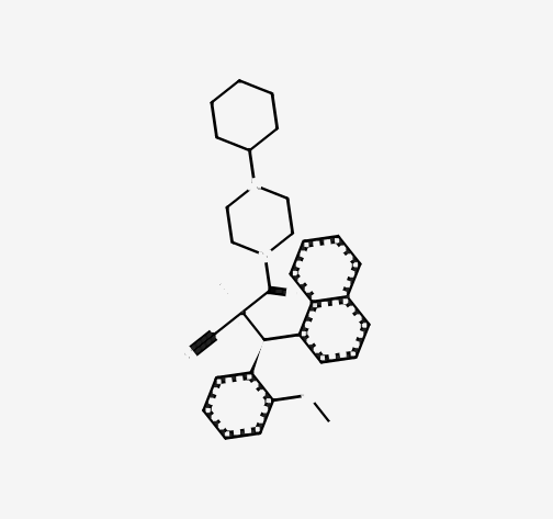 COc1ccccc1[C@H](c1cccc2ccccc12)[C@@](C)(C#N)C(=O)N1CCN(C2CCCCC2)CC1